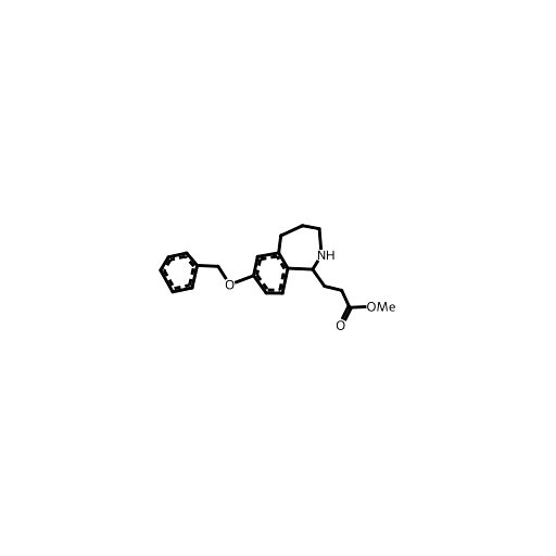 COC(=O)CCC1NCCCc2cc(OCc3ccccc3)ccc21